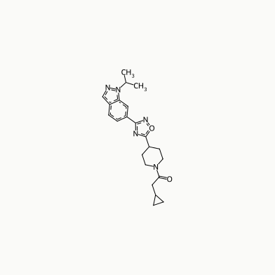 CC(C)n1ncc2ccc(-c3noc(C4CCN(C(=O)CC5CC5)CC4)n3)cc21